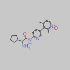 Cc1cc[n+]([O-])c(C)c1-c1ccc(NC(=O)[C@@H](N)C2CCCC2)nc1